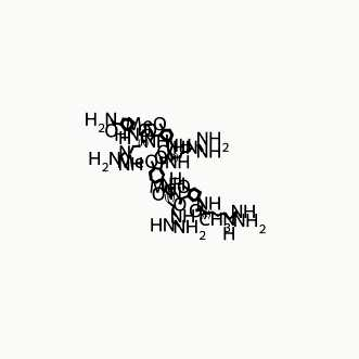 COC1=C=CC=C(NC(=O)[C@@H](CCCNC(=N)N)NC(=O)c2cc(NC(=O)[C@H](C)CCCNC(=N)N)ccc2OC)C=C1C(=O)N[C@H](CCCNC(=N)N)C(=O)Nc1ccc(OC)c(C(=O)N[C@H](CCCNC(=N)N)C(=O)Nc2cccc(C(N)=O)c2)c1